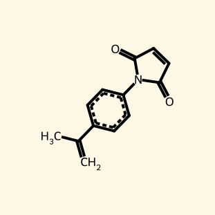 C=C(C)c1ccc(N2C(=O)C=CC2=O)cc1